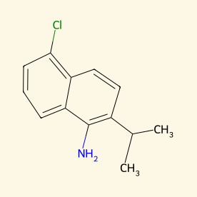 CC(C)c1ccc2c(Cl)cccc2c1N